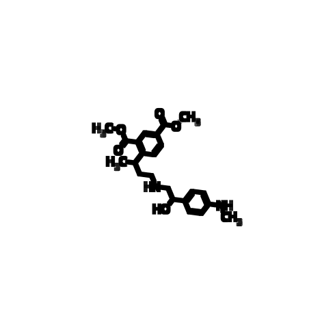 CNc1ccc(C(O)CNCCC(C)c2ccc(C(=O)OC)cc2C(=O)OC)cc1